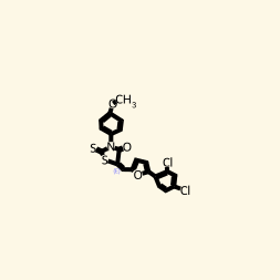 COc1ccc(N2C(=O)/C(=C\c3ccc(-c4ccc(Cl)cc4Cl)o3)SC2=S)cc1